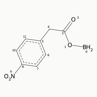 BOC(=O)Cc1ccc([N+](=O)[O-])cc1